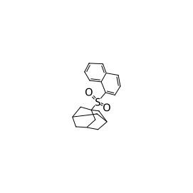 O=S(=O)(c1cccc2ccccc12)C12CC3CC(CC(C3)C1)C2